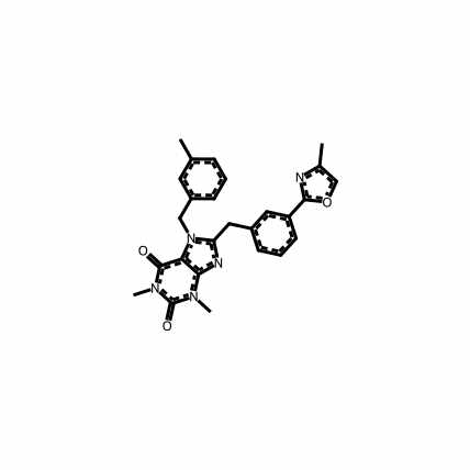 Cc1cccc(Cn2c(Cc3cccc(-c4nc(C)co4)c3)nc3c2c(=O)n(C)c(=O)n3C)c1